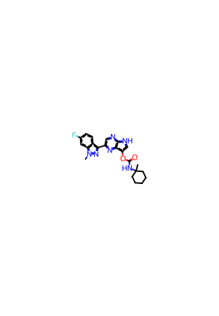 Cn1nc(-c2cnc3[nH]cc(OC(=O)NC4(C)CCCCC4)c3n2)c2ccc(F)cc21